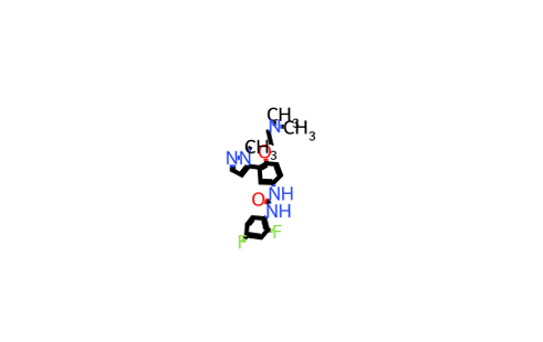 CN(C)CCOc1ccc(NC(=O)Nc2ccc(F)cc2F)cc1-c1ccnn1C